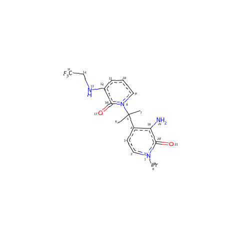 CC(C)n1ccc(C(C)(C)n2cccc(NCC(F)(F)F)c2=O)c(N)c1=O